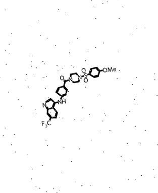 COc1ccc(S(=O)(=O)N2CCN(C(=O)c3ccc(Nc4ccnc5cc(C(F)(F)F)ccc45)cc3)CC2)cc1